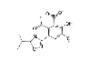 COc1cc(-c2noc(C(C)C)n2)c(C(C)=O)c([N+](=O)[O-])c1O